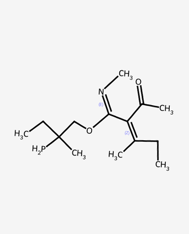 CC/C(C)=C(C(C)=O)/C(=N\C)OCC(C)(P)CC